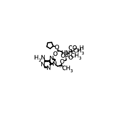 C[C@H](Cn1cnc2c(N)ncnc21)OCP(=O)(NC(C)(C)C(=O)O)OCC(=O)OC1CCCC1